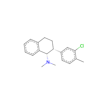 Cc1ccc([C@H]2CCc3ccccc3[C@H]2N(C)C)cc1Cl